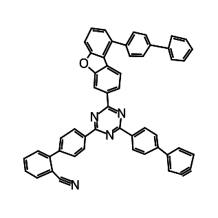 N#Cc1ccccc1-c1ccc(-c2nc(-c3ccc(-c4cc#ccc4)cc3)nc(-c3ccc4c(c3)oc3cccc(-c5ccc(-c6ccccc6)cc5)c34)n2)cc1